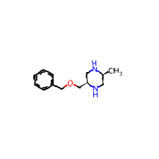 C[C@H]1CN[C@@H](COCc2ccccc2)CN1